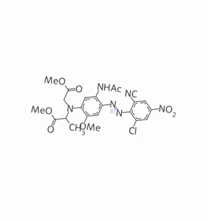 COC(=O)CN(c1cc(NC(C)=O)c(/N=N/c2c(Cl)cc([N+](=O)[O-])cc2C#N)cc1OC)C(C)C(=O)OC